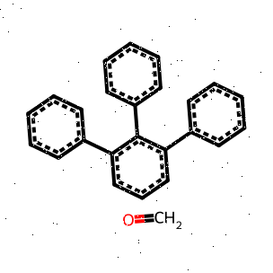 C=O.c1ccc(-c2cccc(-c3ccccc3)c2-c2ccccc2)cc1